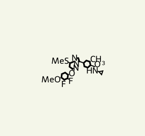 COc1ccc(Oc2cc(SC)c3ncc(-c4ccc(C(=O)NC5CC5)c(C)c4)n3n2)c(F)c1F